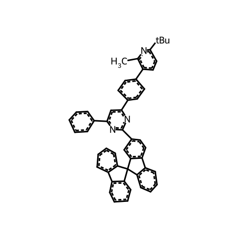 Cc1nc(C(C)(C)C)ccc1-c1ccc(-c2cc(-c3ccccc3)nc(-c3ccc4c(c3)C3(c5ccccc5-c5ccccc53)c3ccccc3-4)n2)cc1